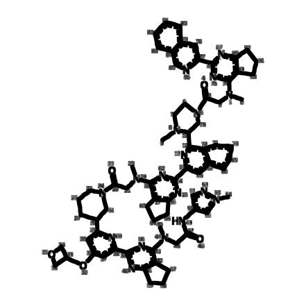 CN(CC(=O)N1CCN(C)C(c2nc(-c3nc4c(c(N(C)CC(=O)N5CCCC(c6cc(OC7COC7)cc(-c7nc8c(c(N(C)CC(=O)Nc9cnn(C)c9)n7)CCC8)n6)C5)n3)CCC4)cc3ccccc23)C1)c1nc(-c2cc3ccccc3cn2)nc2c1CCC2